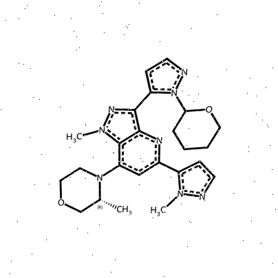 C[C@@H]1COCCN1c1cc(-c2ccnn2C)nc2c(-c3ccnn3C3CCCCO3)nn(C)c12